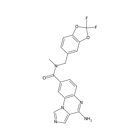 CN(Cc1ccc2c(c1)OC(F)(F)O2)C(=O)c1ccc2nc(N)c3cncn3c2c1